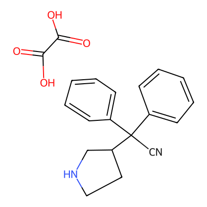 N#CC(c1ccccc1)(c1ccccc1)C1CCNC1.O=C(O)C(=O)O